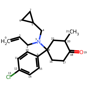 C=CCN(CC1CC1)C1(c2ccc(Cl)cc2)CCC(=O)C(C)C1